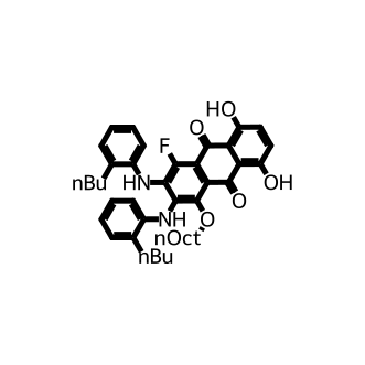 CCCCCCCCOc1c(Nc2ccccc2CCCC)c(Nc2ccccc2CCCC)c(F)c2c1C(=O)c1c(O)ccc(O)c1C2=O